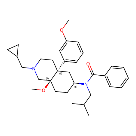 COc1cccc([C@@]23CCN(CC4CC4)C[C@@]2(OC)CC[C@H](N(CC(C)C)C(=O)c2ccccc2)C3)c1